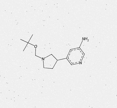 CC(C)(C)OCN1CCC(c2cncc(N)c2)C1